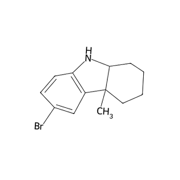 CC12CCCCC1Nc1ccc(Br)cc12